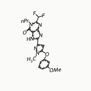 CCCn1c(C(F)F)nc2nc(-c3cc(Oc4cccc(OC)c4)n(C)n3)[nH]c2c1=O